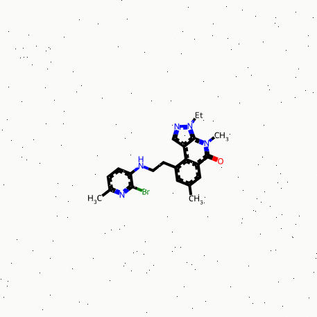 CCn1ncc2c3c(CCNc4ccc(C)nc4Br)cc(C)cc3c(=O)n(C)c21